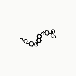 CCCOC[C@H]1CC[C@@H](Oc2ccc3cc(CN4CCC(C(=O)OCC)CC4)ccc3c2)CC1